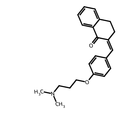 CN(C)CCCOc1ccc(C=C2CCc3ccccc3C2=O)cc1